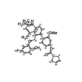 COc1cc(OC(=O)C2CC=CS2)ccc1-c1ccc2c(c1COc1cc(F)ccc1C)C(C)=CC(C)(C)N2